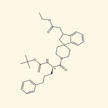 CCOC(=O)CC1CC2(CCN(C(=O)[C@@H](CCCc3ccccc3)NC(=O)OC(C)(C)C)CC2)c2ccccc21